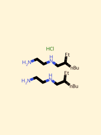 CCCCC(CC)CNCCN.CCCCC(CC)CNCCN.Cl